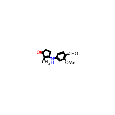 COc1cc(NC2=C(C)C(=O)CC2)ccc1C=O